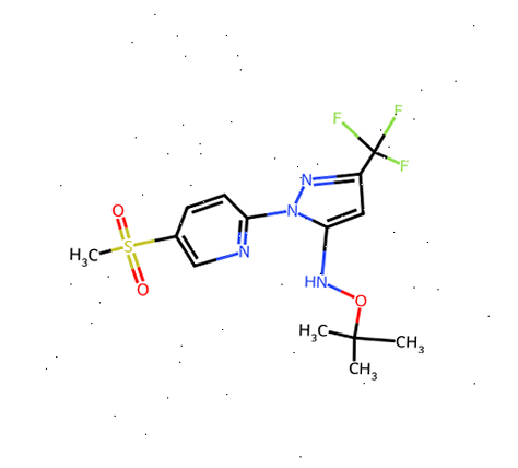 CC(C)(C)ONc1cc(C(F)(F)F)nn1-c1ccc(S(C)(=O)=O)cn1